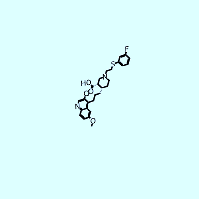 COc1ccc2ncc(Cl)c(CCC[C@H]3CCN(CCSc4cccc(F)c4)C[C@H]3C(=O)O)c2c1